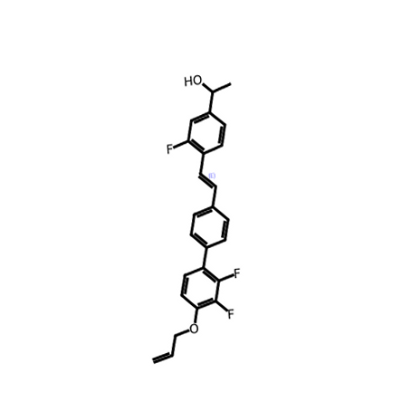 C=CCOc1ccc(-c2ccc(/C=C/c3ccc(C(C)O)cc3F)cc2)c(F)c1F